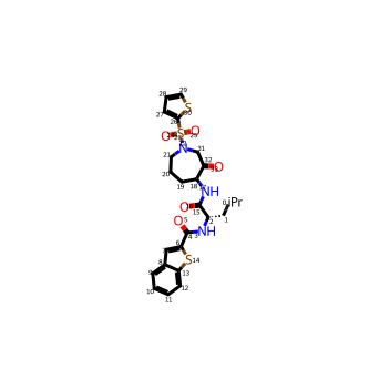 CC(C)C[C@H](NC(=O)c1cc2ccccc2s1)C(=O)NC1CCCN(S(=O)(=O)c2cccs2)CC1=O